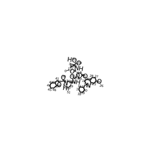 CC[C@@H]1C[C@]1(NC(=O)[C@@H]1C[C@@H](Oc2cc(-c3ccccc3)nc3cc(OC)ccc23)CN1C(=O)N[C@H](CNC(=O)c1cc2ccccc2o1)CC(C)C)C(=O)O